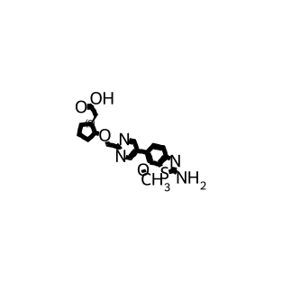 COc1c(-c2cnc(COC3CCC[C@H]3CC(=O)O)nc2)ccc2nc(N)sc12